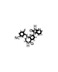 N#Cc1ccc(F)c(CN2CCNC(=O)c3ccc(-n4c(=O)[nH]c5ncccc54)nc32)c1